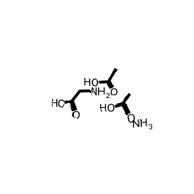 CC(=O)O.CC(=O)O.N.NCC(=O)O